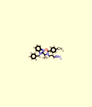 Cc1ccc(C(=O)N(CCCN)C(c2nc3ccccc3n2Cc2ccccc2)C(C)C)cc1